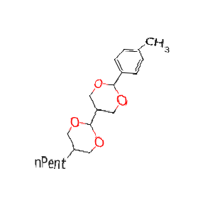 CCCCCC1COC(C2COC(c3ccc(C)cc3)OC2)OC1